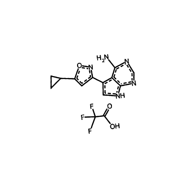 Nc1ncnc2[nH]cc(-c3cc(C4CC4)on3)c12.O=C(O)C(F)(F)F